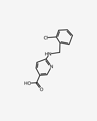 O=C(O)c1ccc(NCc2ccccc2Cl)nc1